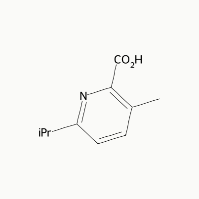 Cc1ccc(C(C)C)nc1C(=O)O